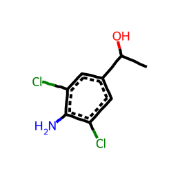 CC(O)c1cc(Cl)c(N)c(Cl)c1